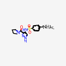 CC(=O)Nc1ccc(S(=O)(=O)Nc2c[nH]nc2C(=O)N2CCCC2)cc1